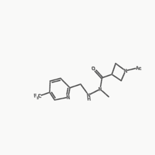 CC(=O)N1CC(C(=O)N(C)NCc2ccc(C(F)(F)F)cn2)C1